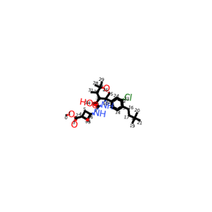 COC(=O)C12CC(NC(=O)NC3(c4ccc(CCC(C)(C)C)c(Cl)c4)COC(C)(C)C(C)C3CO)(C1)C2